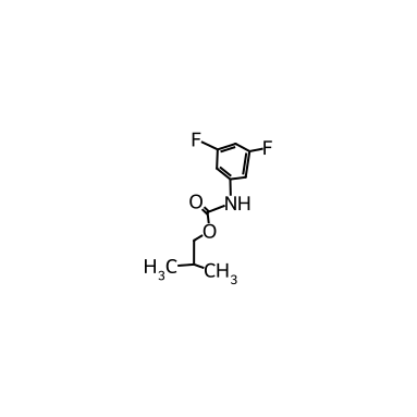 CC(C)COC(=O)Nc1cc(F)cc(F)c1